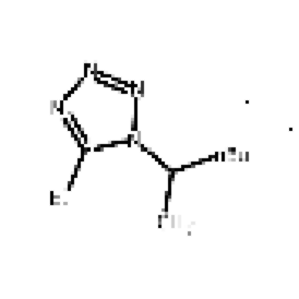 [CH2]C(CCCC)n1nnnc1CC